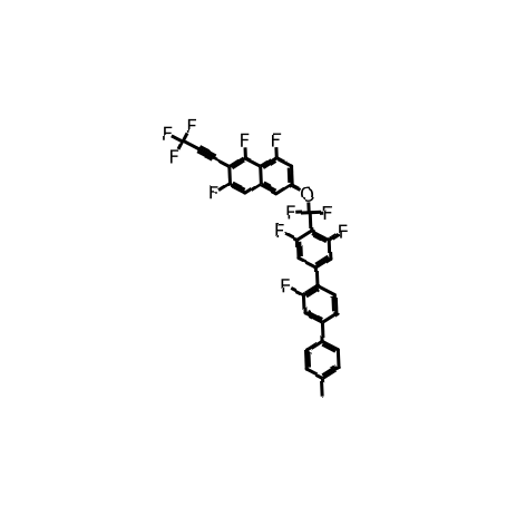 Cc1ccc(-c2ccc(-c3cc(F)c(C(F)(F)Oc4cc(F)c5c(F)c(C#CC(F)(F)F)c(F)cc5c4)c(F)c3)c(F)c2)cc1